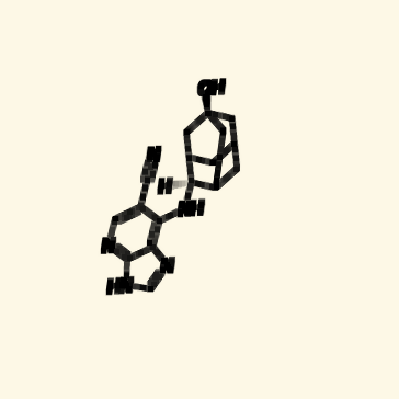 N#Cc1cnc2[nH]cnc2c1N[C@H]1C2CC3CC1C[C@@](O)(C3)C2